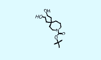 CC(C)(C)OC(=O)N1CCCC(CCO)(CCO)CC1